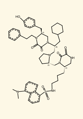 CN(C)c1cccc2c(S(=O)(=O)NCCCC[C@H]3CNC(=O)C(=O)N3C[C@@H]3CCCN3C[C@@H](CC3CCCCC3)N3C[C@H](Cc4ccc(O)cc4)N(CCc4ccccc4)C(=O)C3=O)cccc12